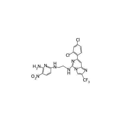 Nc1nc(NCCNc2nc(-c3ccc(Cl)cc3Cl)cc3nc(C(F)(F)F)cn23)ccc1[N+](=O)[O-]